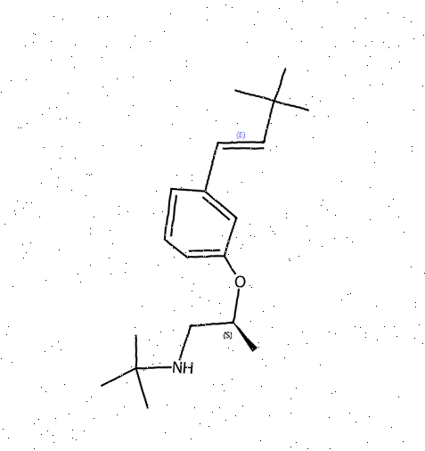 C[C@@H](CNC(C)(C)C)Oc1cccc(/C=C/C(C)(C)C)c1